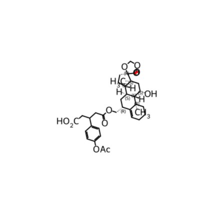 CC(=O)Oc1ccc(C(CC(=O)O)CC(=O)OC[C@@H]2C[C@@H]3[C@H]([C@@H](O)C[C@@]4(C)[C@H]3CC[C@@]43OCOC34COCO4)[C@@]3(C)CCCC=C23)cc1